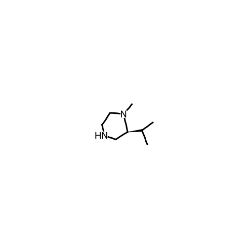 CC(C)[C@H]1CNCCN1C